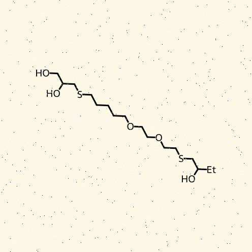 CCC(O)CSCCOCCOCCCCCSCC(O)CO